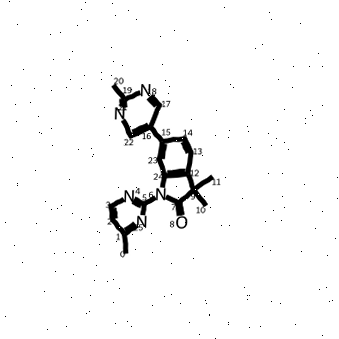 Cc1ccnc(N2C(=O)C(C)(C)c3ccc(-c4cnc(C)nc4)cc32)n1